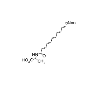 CCCCCCCCCC=CC=CC=CC=CC=CC(=O)N[C@@H](C)C(=O)O